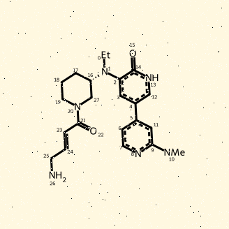 CCN(c1cc(-c2ccnc(NC)c2)c[nH]c1=O)[C@H]1CCCN(C(=O)C=CCN)C1